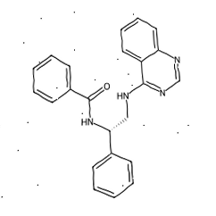 O=C(N[C@H](CNc1ncnc2ccccc12)c1ccccc1)c1ccccc1